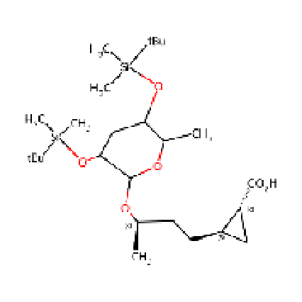 CC1OC(O[C@H](C)CC[C@@H]2C[C@H]2C(=O)O)C(O[Si](C)(C)C(C)(C)C)CC1O[Si](C)(C)C(C)(C)C